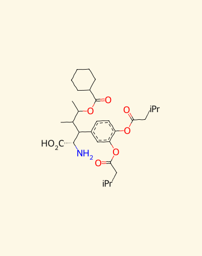 CC(C)CC(=O)Oc1ccc(C(C(C)C(C)OC(=O)C2CCCCC2)[C@H](N)C(=O)O)cc1OC(=O)CC(C)C